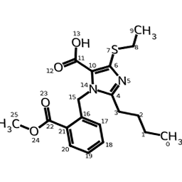 CCCCc1nc(SCC)c(C(=O)O)n1Cc1ccccc1C(=O)OC